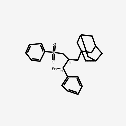 CC[C@@H](c1ccccc1)[C@H](CC12CC3CC(CC(C3)C1)C2)CS(=O)(=O)c1ccccc1